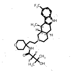 C[C@H]1c2c([nH]c3ccc(C(F)(F)F)cc23)C[C@H]2CCN(CCC3(NC(=O)C(F)(F)C(C)(C)O)CCOCC3)C[C@@H]21